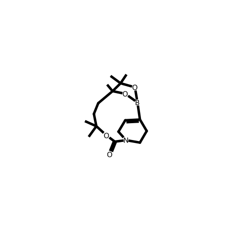 CC1(C)CCC2(C)OB(OC2(C)C)C2=CCN(CC2)C(=O)O1